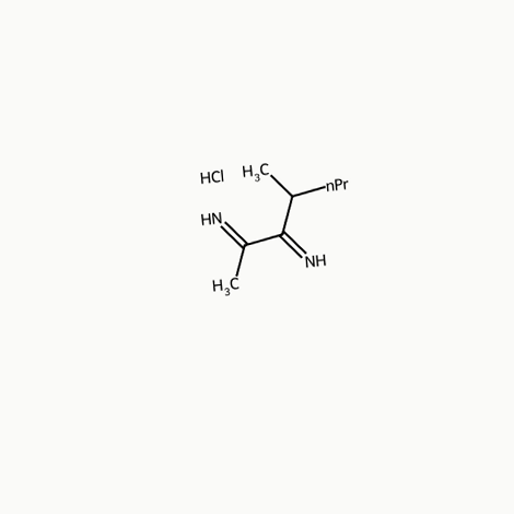 CCCC(C)C(=N)C(C)=N.Cl